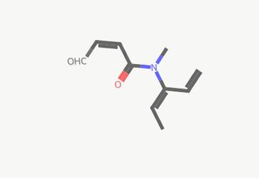 C=C/C(=C\C)N(C)C(=O)/C=C\C=O